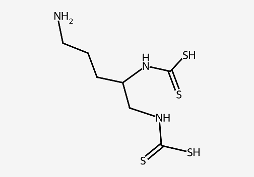 NCCCC(CNC(=S)S)NC(=S)S